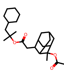 CC(=O)OC1(C)C2CC3CC(C2)C(CC(=O)OC(C)(C)CC2CCCCC2)C1C3